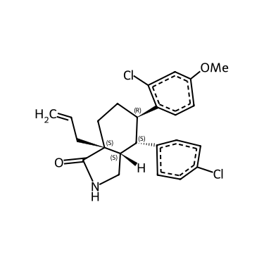 C=CC[C@@]12CC[C@@H](c3ccc(OC)cc3Cl)[C@H](c3ccc(Cl)cc3)[C@@H]1CNC2=O